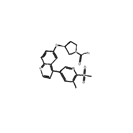 CCC(=O)N1CC[C@H](Oc2ccc3nccc(-c4cnc(S(C)(=O)=O)c(C)c4)c3c2)C1